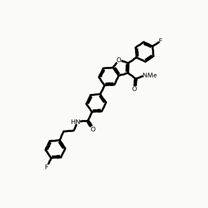 CNC(=O)c1c(-c2ccc(F)cc2)oc2ccc(-c3ccc(C(=O)NCCc4ccc(F)cc4)cc3)cc12